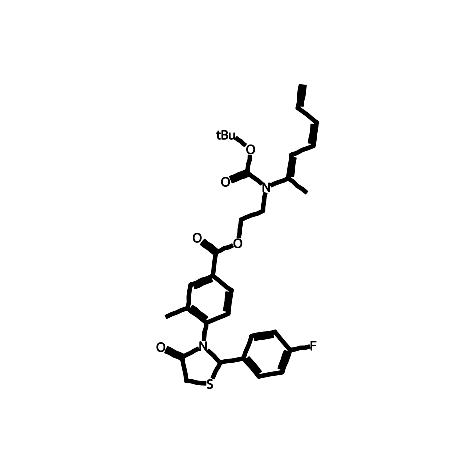 C=C/C=C\C=C(/C)N(CCOC(=O)c1ccc(N2C(=O)CSC2c2ccc(F)cc2)c(C)c1)C(=O)OC(C)(C)C